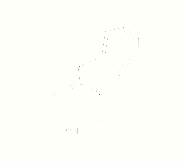 C=C(/N=C\NC)C(=C)c1ccccc1C